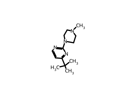 CN1CCN(c2nccc(C(C)(C)C)n2)CC1